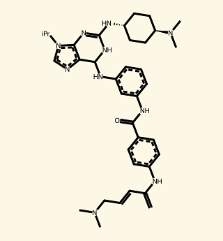 C=C(/C=C/CN(C)C)Nc1ccc(C(=O)Nc2cccc(NC3NC(N[C@H]4CC[C@H](N(C)C)CC4)=Nc4c3ncn4C(C)C)c2)cc1